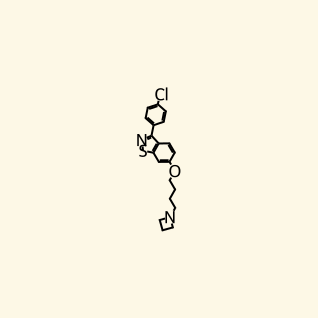 Clc1ccc(-c2nsc3cc(OCCCCN4CCC4)ccc23)cc1